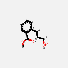 COC(=O)c1ccccc1CCCO